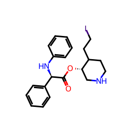 O=C(O[C@H]1CNCCC1CCI)[C@H](Nc1ccccc1)c1ccccc1